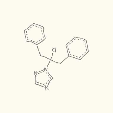 ClC(Cc1ccccc1)(Cc1ccccc1)n1cncn1